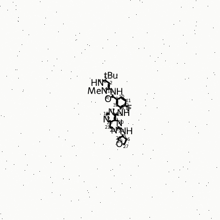 CN/C(=C\C(=N)C(C)(C)C)NC(=O)c1ccc(F)c(Nc2ncnc3cnc(NC4CCOC4)nc23)c1